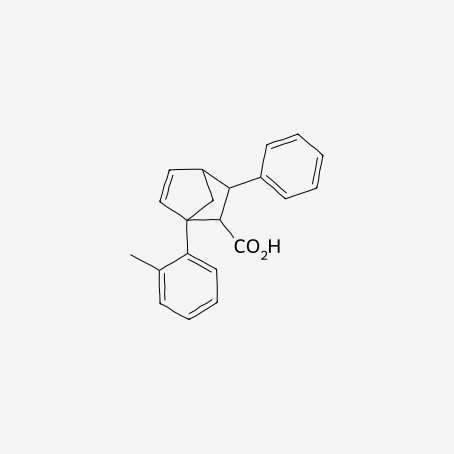 Cc1ccccc1C12C=CC(C1)C(c1ccccc1)C2C(=O)O